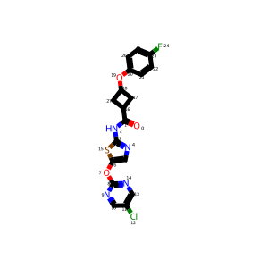 O=C(Nc1ncc(Oc2ncc(Cl)cn2)s1)C1CC(Oc2ccc(F)cc2)C1